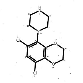 Clc1cc(Cl)c(N2CCNCC2)c2c1OCCO2